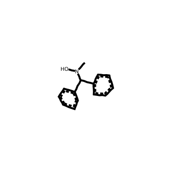 CN(O)C(c1ccccc1)c1ccccc1